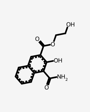 NC(=O)c1c(O)c(C(=O)OCCO)cc2ccccc12